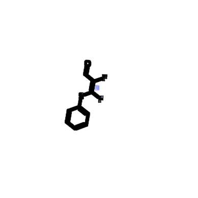 O=C/C(F)=C(/F)Sc1ccccc1